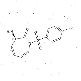 N[C@@H]1C=CC=CN(S(=O)(=O)c2ccc(Br)cc2)C1=O